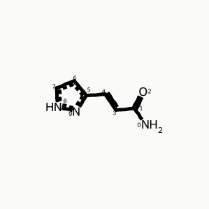 NC(=O)C=Cc1cc[nH]n1